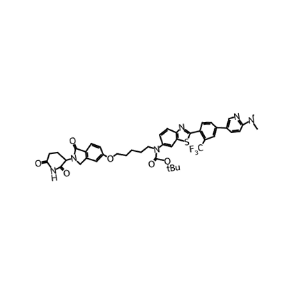 CN(C)c1ccc(-c2ccc(-c3nc4ccc(N(CCCCCOc5ccc6c(c5)CN(C5CCC(=O)NC5=O)C6=O)C(=O)OC(C)(C)C)cc4s3)c(C(F)(F)F)c2)cn1